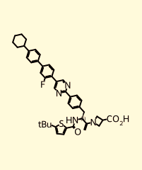 C=C([C@H](Cc1ccc(-c2ncc(-c3ccc(-c4ccc(C5CCCCC5)cc4)cc3F)cn2)cc1)NC(=O)c1ccc(C(C)(C)C)s1)N1CC(C(=O)O)C1